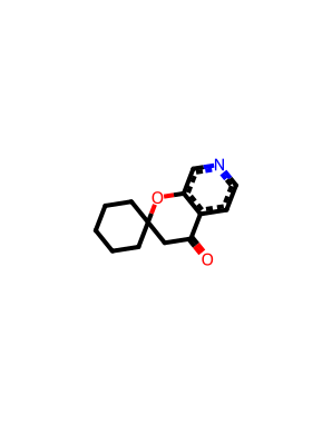 O=C1CC2(CCCCC2)Oc2cnccc21